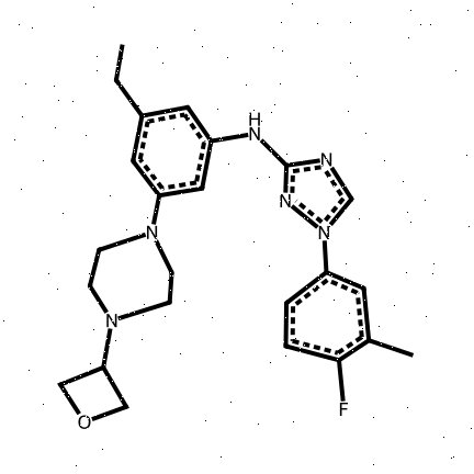 CCc1cc(Nc2ncn(-c3ccc(F)c(C)c3)n2)cc(N2CCN(C3COC3)CC2)c1